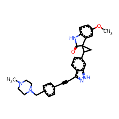 COc1ccc2c(c1)C1(CC1c1ccc3c(C#Cc4ccc(CN5CCN(C)CC5)cc4)n[nH]c3c1)C(=O)N2